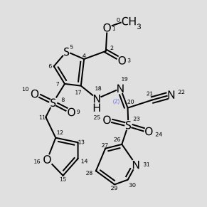 COC(=O)c1scc(S(=O)(=O)Cc2ccco2)c1N/N=C(/C#N)S(=O)(=O)c1ccccn1